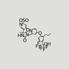 CCCc1cc(C(O)(C(F)(F)F)C(F)(F)F)ccc1Oc1ccnc(CN2C(=O)NC(C)(c3ccc(S(C)(=O)=O)nc3)C2=O)c1